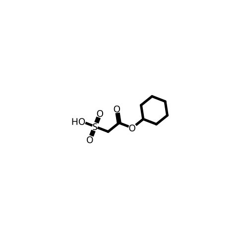 O=C(CS(=O)(=O)O)OC1CCCCC1